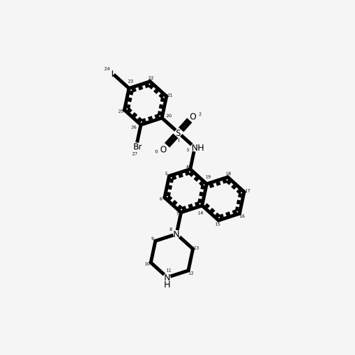 O=S(=O)(Nc1ccc(N2CCNCC2)c2ccccc12)c1ccc(I)cc1Br